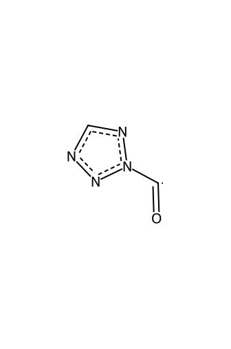 O=[C]n1ncnn1